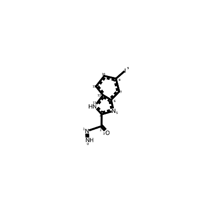 N=NC(=O)c1nc2cc(I)ccc2[nH]1